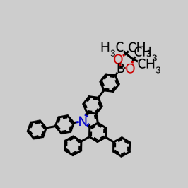 CC1(C)OB(c2ccc(-c3ccc4c(c3)c3cc(-c5ccccc5)cc(-c5ccccc5)c3n4-c3ccc(-c4ccccc4)cc3)cc2)OC1(C)C